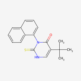 CC(C)(C)c1c[nH]c(=S)n(-c2cccc3ccccc23)c1=O